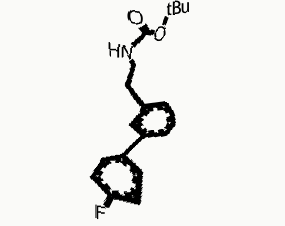 CC(C)(C)OC(=O)NCCc1cccc(-c2ccc(F)cc2)c1